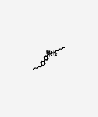 CCCCCCC(=O)NNC(=O)c1ccc(C2CCC(CCCCC)CC2)cc1